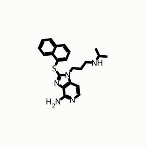 CC(C)NCCCn1c(Sc2cccc3ccccc23)nc2c(N)nccc21